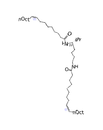 CCCCCCCC/C=C\CCCCCCCC(=O)NCCCC[C@H](NC(=O)CCCCCCC/C=C\CCCCCCCC)C(C)C